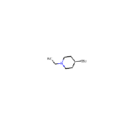 CC(C)(C)C1CCN(CC#N)CC1